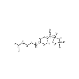 CC(C)OCCNC1CCN(C(=O)C(C)(C)CC(C)(C)C)CC1